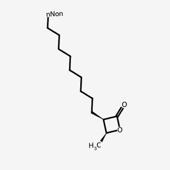 CCCCCCCCCCCCCCCCCC[C@H]1C(=O)O[C@H]1C